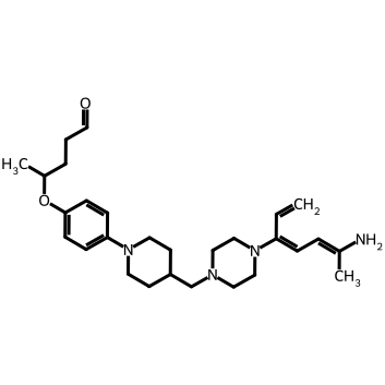 C=C/C(=C\C=C(/C)N)N1CCN(CC2CCN(c3ccc(OC(C)CCC=O)cc3)CC2)CC1